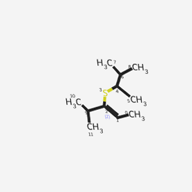 C/C=C(\SC(C)C(C)C)C(C)C